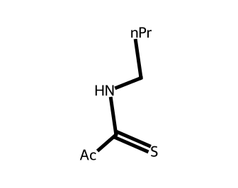 CCCCNC(=S)C(C)=O